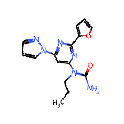 CCCN(C(N)=O)c1cc(-n2cccn2)nc(-c2ccco2)n1